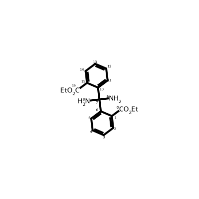 CCOC(=O)c1ccccc1C(N)(N)c1ccccc1C(=O)OCC